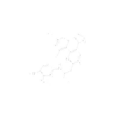 [CH2]C(Cc1ncc(-c2ncc[nH]2)c(-c2ccc(Cl)cc2Cl)n1)Nc1ccc([N+](=O)[O-])c(N)n1